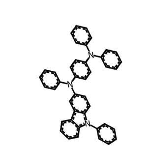 c1ccc(N(c2ccccc2)c2ccc(N(c3ccccc3)c3ccc4c(c3)c3ccccc3n4-c3ccccc3)cc2)cc1